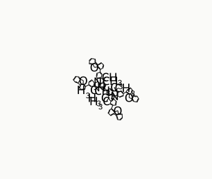 CC1(C)c2cc(-c3cccc4c3oc3ccccc34)ccc2N2c3ccc(-c4cccc5c4oc4ccccc45)cc3C(C)(C)c3cc(-c4cc5c6c(c4)C(C)(C)c4cc(-c7cccc8c7oc7ccccc78)ccc4N6c4ccc(-c6cccc7c6oc6ccccc67)cc4C5(C)C)cc1c32